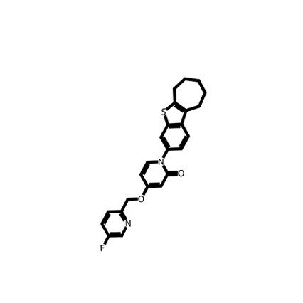 O=c1cc(OCc2ccc(F)cn2)ccn1-c1ccc2c3c(sc2c1)CCCCC3